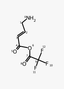 NC/C=C/C(=O)OC(=O)C(F)(F)F